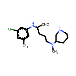 CN(CCCC(C=O)Nc1cc(Cl)cc(C(F)(F)F)c1)C1CCCNC1